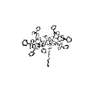 C=CCCCCCCCCOC1OC(COC2OC(COC(=O)c3ccccc3)C(OC(=O)c3ccccc3)C(OC(=O)c3ccccc3)C2OC(=O)c2ccccc2)C(O)C(OC2OC(COC(=O)c3ccccc3)C(OC(=O)c3ccccc3)C(C)C2OC(=O)c2ccccc2)C1O